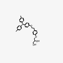 Cc1ccc(N(c2ccc(C)cc2)c2ccc(OCCc3ccc(OCC(O)CO)cc3)cc2)cc1